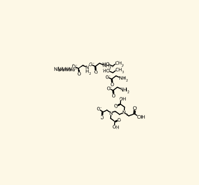 CCO.CCO.NCC(=O)[O-].NCC(=O)[O-].NCC(=O)[O-].NCC(=O)[O-].O=C([O-])CN(CCN(CC(=O)O)CC(=O)O)CC(=O)O.[Na+].[Na+].[Na+].[Na+].[Na+]